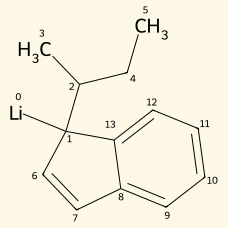 [Li][C]1(C(C)CC)C=Cc2ccccc21